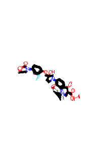 COc1c(N2CC[C@](O)(COc3ccc(N4CCOC4=O)cc3F)C2)ccc2c(=O)c(C(=O)O)cn(C3CC3)c12